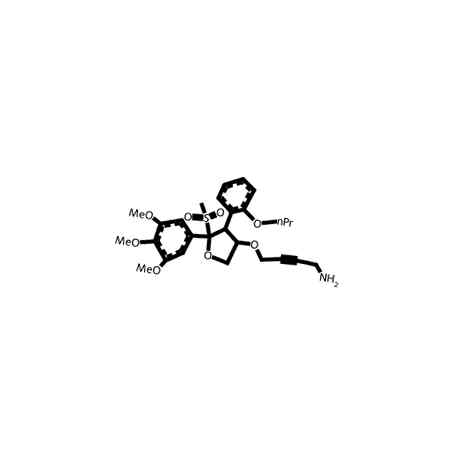 CCCOc1ccccc1C1C(OCC#CCN)COC1(c1cc(OC)c(OC)c(OC)c1)S(C)(=O)=O